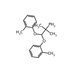 Cc1ccccc1OC(Oc1ccccc1C)C(C)(C)P